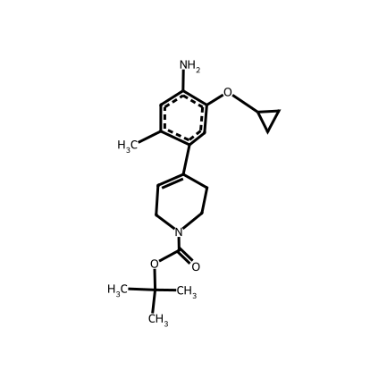 Cc1cc(N)c(OC2CC2)cc1C1=CCN(C(=O)OC(C)(C)C)CC1